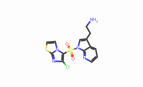 NCCc1cn(S(=O)(=O)c2c(Cl)nc3sccn23)c2ncccc12